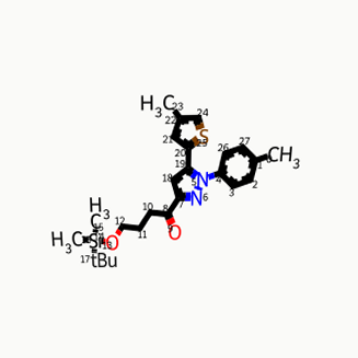 Cc1ccc(-n2nc(C(=O)CCCO[Si](C)(C)C(C)(C)C)cc2-c2cc(C)cs2)cc1